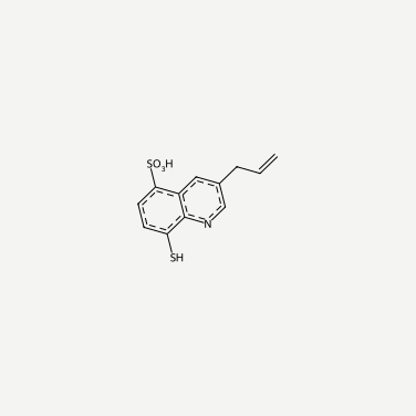 C=CCc1cnc2c(S)ccc(S(=O)(=O)O)c2c1